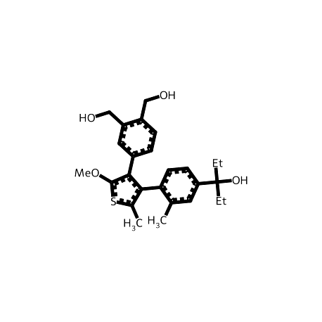 CCC(O)(CC)c1ccc(-c2c(C)sc(OC)c2-c2ccc(CO)c(CO)c2)c(C)c1